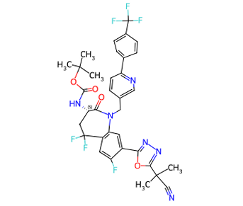 CC(C)(C)OC(=O)N[C@H]1CC(F)(F)c2cc(F)c(-c3nnc(C(C)(C)C#N)o3)cc2N(Cc2ccc(-c3ccc(C(F)(F)F)cc3)nc2)C1=O